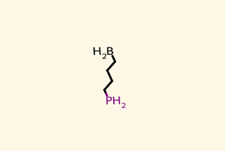 BCCCCP